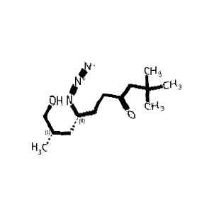 C[C@H](CO)C[C@@H](CCC(=O)CC(C)(C)C)N=[N+]=[N-]